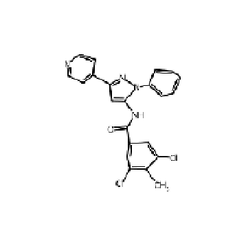 Cc1c(Cl)cc(C(=O)Nc2cc(-c3ccncc3)nn2-c2ccccc2)cc1Cl